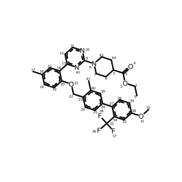 CCOC(=O)C1CCN(c2nccc(-c3cc(C)ccc3OCc3ccc(-c4ccc(OC)cc4C(F)(F)F)cc3C)n2)CC1